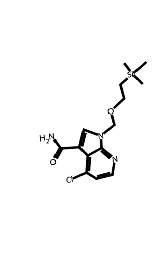 C[Si](C)(C)CCOCn1cc(C(N)=O)c2c(Cl)ccnc21